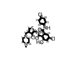 CN1CCN(Cc2csc(NC(=O)c3c(O)cc(Cl)cc3C(=O)Nc3ccc(Cl)cc3)c2Cl)CC1